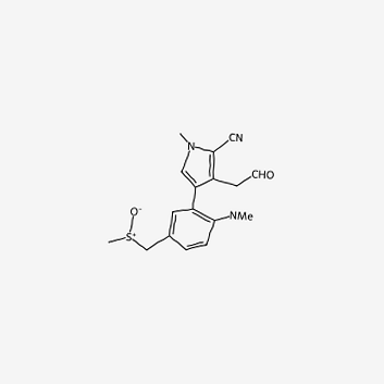 CNc1ccc(C[S+](C)[O-])cc1-c1cn(C)c(C#N)c1CC=O